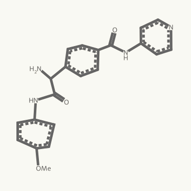 COc1ccc(NC(=O)C(N)c2ccc(C(=O)Nc3ccncc3)cc2)cc1